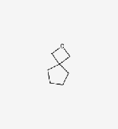 C1CCC2(C1)COC2